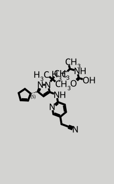 CC(C)(C)n1nc([C@@H]2C=CCC2)cc1Nc1ccc(CC#N)cn1.CC(C)NC(=O)O